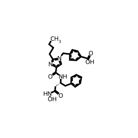 CCCCc1nc(C(=O)N[C@@H](CC(=O)NO)Cc2ccccc2)cn1Cc1ccc(C(=O)O)cc1